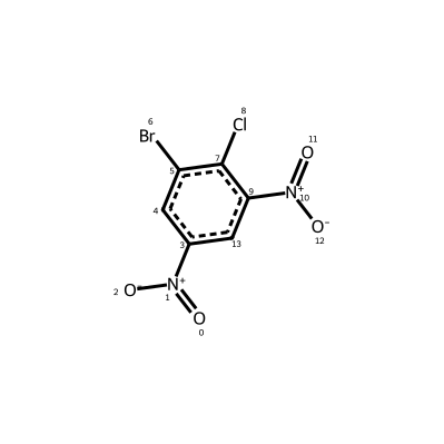 O=[N+]([O-])c1cc(Br)c(Cl)c([N+](=O)[O-])c1